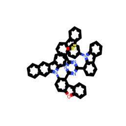 c1ccc(-n2c3ccccc3c3cccc(-c4nc(-c5cccc6c5sc5ccccc56)nc(-c5c(-n6c7ccccc7c7cc8ccccc8cc76)ccc6oc7ccccc7c56)n4)c32)cc1